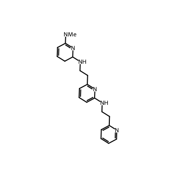 CNC1=NC(NCCc2cccc(NCCc3ccccn3)n2)CC=C1